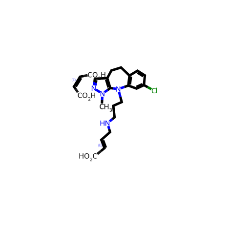 Cn1ncc2c1N(CCCNC/C=C/C(=O)O)c1cc(Cl)ccc1CC2.O=C(O)/C=C\C(=O)O